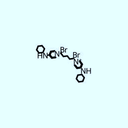 BrC(CCCC(Br)[n+]1ccc(NC2CCCCC2)cc1)[n+]1ccc(NC2CCCCC2)cc1